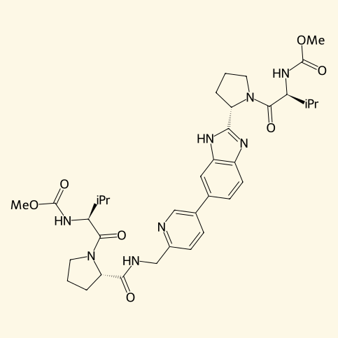 COC(=O)N[C@H](C(=O)N1CCC[C@H]1C(=O)NCc1ccc(-c2ccc3nc([C@@H]4CCCN4C(=O)[C@@H](NC(=O)OC)C(C)C)[nH]c3c2)cn1)C(C)C